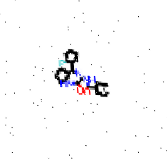 O=C(N[C@H]1N=C(c2ccccc2F)c2ccccc2NC1=O)c1ccccc1